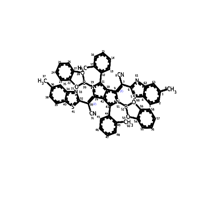 Cc1ccc2sc(/C(C#N)=c3/c4c(-c5ccccc5C)n(B5Oc6ccccc6O5)/c(=C(/C#N)c5nc6cc(C)ccc6s5)c4c(-c4ccccc4C)n3B3Oc4ccccc4O3)nc2c1